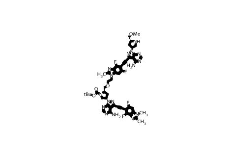 COC[C@H]1C[C@H](n2nc(C#Cc3c(F)cc4c(nc(C)n4CCOC[C@H]4C[C@H](n5nc(C#Cc6c(F)cc7c(nc(C)n7C)c6F)c6c(N)ncnc65)CN4C(=O)OC(C)(C)C)c3F)c3c(N)ncnc32)CN1